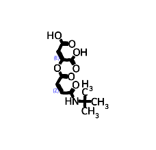 CC(C)(C)NC(=O)/C=C\C(=O)O/C(=C/C(=O)O)C(=O)O